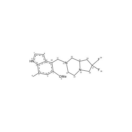 COc1cc(C)c2[nH]ccc2c1CN1CCN2CC(F)(F)CC2C1